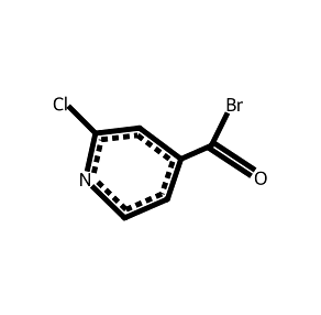 O=C(Br)c1ccnc(Cl)c1